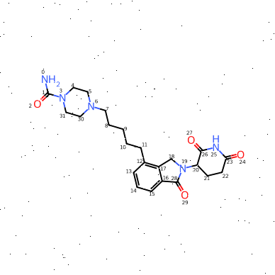 NC(=O)N1CCN(CCCCCc2cccc3c2CN(C2CCC(=O)NC2=O)C3=O)CC1